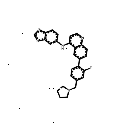 Fc1cc(CN2CCCC2)ccc1-c1ccc2nccc(Nc3ccc4scnc4c3)c2c1